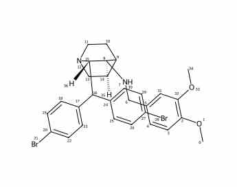 COc1ccc(CN[C@@H]2C3CCN(CC3)[C@H]2C(c2ccc(Br)cc2)c2ccc(Br)cc2)cc1OC